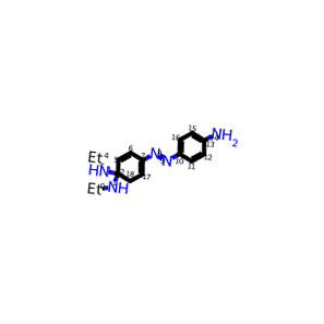 CCNC1(NCC)C=CC(N=Nc2ccc(N)cc2)=CC1